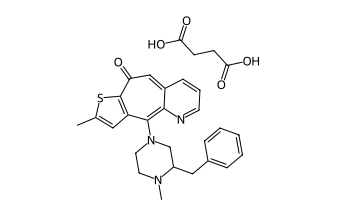 Cc1cc2c(N3CCN(C)C(Cc4ccccc4)C3)c3ncccc3cc(=O)c2s1.O=C(O)CCC(=O)O